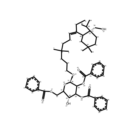 CCC(=CCCC(C)(C)CCCO[C@@H]1OC(COC(=O)c2ccccc2)[C@@H](O)C(OC(=O)c2ccccc2)C1OC(=O)c1ccccc1)C1CC(C)(C)CC[C@]1(CO)C(C)C